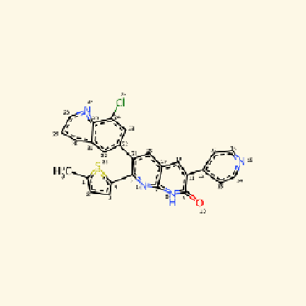 Cc1ccc(-c2nc3[nH]c(=O)c(-c4ccncc4)cc3cc2-c2cc(Cl)c3ncccc3c2)s1